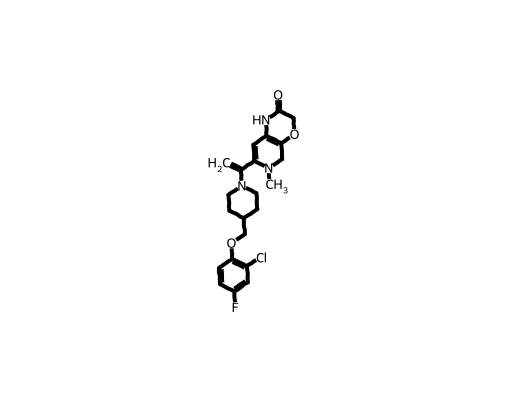 C=C(C1=CC2=C(CN1C)OCC(=O)N2)N1CCC(COc2ccc(F)cc2Cl)CC1